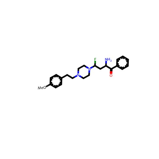 COc1ccc(CCN2CCN(C(F)CC(N)C(=O)c3ccccc3)CC2)cc1